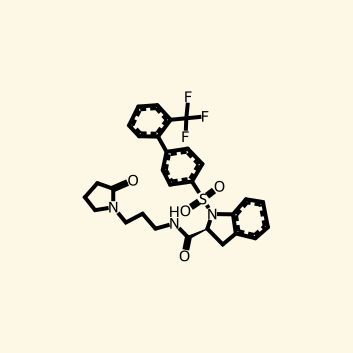 O=C(NCCCN1CCCC1=O)[C@@H]1Cc2ccccc2N1S(=O)(=O)c1ccc(-c2ccccc2C(F)(F)F)cc1